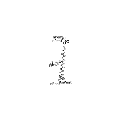 CCCCCC(CCCCC)CC(=O)OCCCCCCCCCC(CCCCCCCOC(=O)CC(CCCCC)CCCCC)OCCCN(CC)CC